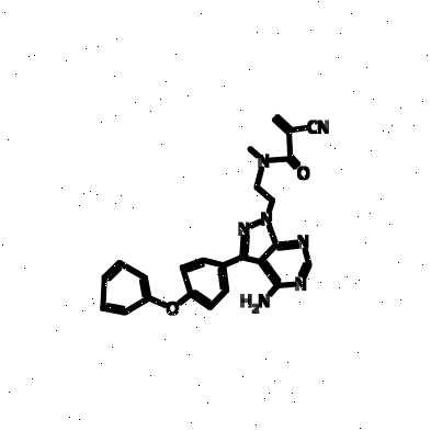 C=C(C#N)C(=O)N(C)CCn1nc(-c2ccc(Oc3ccccc3)cc2)c2c(N)ncnc21